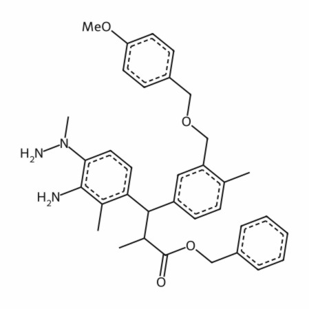 COc1ccc(COCc2cc(C(c3ccc(N(C)N)c(N)c3C)C(C)C(=O)OCc3ccccc3)ccc2C)cc1